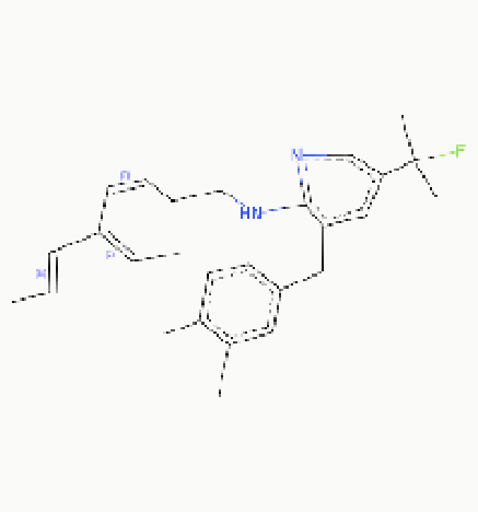 C/C=C(\C=C/CCNc1ncc(C(C)(C)F)cc1Cc1ccc(C)c(C)c1)/C=C/C